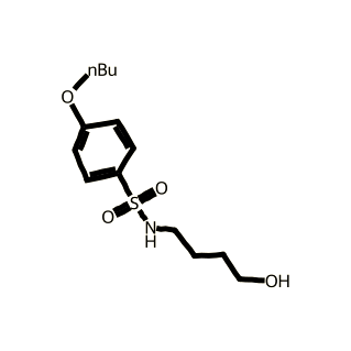 CCCCOc1ccc(S(=O)(=O)NCCCCO)cc1